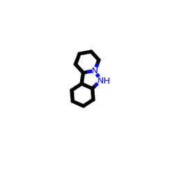 C1CCC2C(C1)NN1CCCCC21